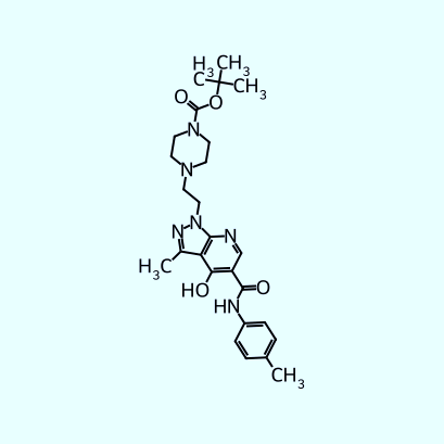 Cc1ccc(NC(=O)c2cnc3c(c(C)nn3CCN3CCN(C(=O)OC(C)(C)C)CC3)c2O)cc1